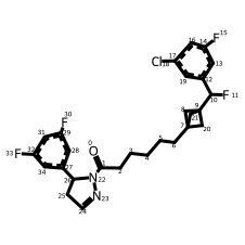 O=C(CCCCCC12CC(C(F)c3cc(F)cc(Cl)c3)(C1)C2)N1N=CCC1c1cc(F)cc(F)c1